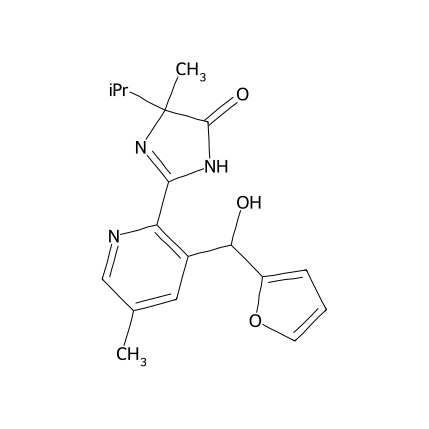 Cc1cnc(C2=NC(C)(C(C)C)C(=O)N2)c(C(O)c2ccco2)c1